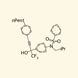 CCCCCc1ccc(C#CC(O)(c2ccc(N(CC(C)C)S(=O)(=O)c3ccccc3)cc2)C(F)(F)F)cc1